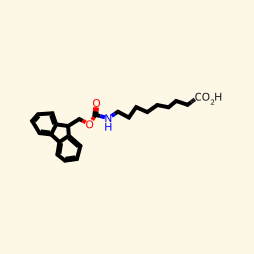 O=C(O)CCCCCCCCNC(=O)OCC1c2ccccc2-c2ccccc21